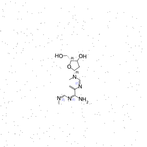 C=C(/N=C\N(C)[C@H]1CC(O)[C@@H](CO)O1)/C(N)=N\C=N/C